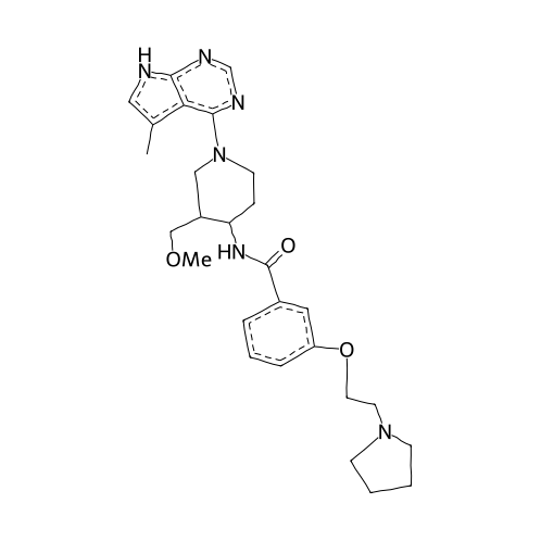 COCC1CN(c2ncnc3[nH]cc(C)c23)CCC1NC(=O)c1cccc(OCCN2CCCC2)c1